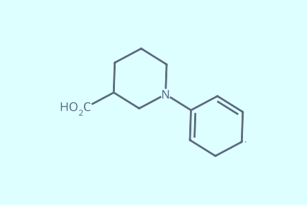 O=C(O)C1CCCN(C2=CC[CH]C=C2)C1